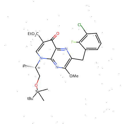 CCOC(=O)c1cn([C@H](CO[Si](C)(C)C(C)(C)C)C(C)C)c2nc(OC)c(Cc3cccc(Cl)c3F)nc2c1=O